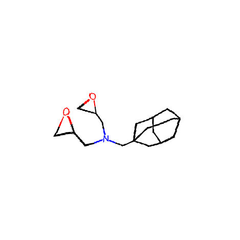 C1C2CC3CC1CC(CN(CC1CO1)CC1CO1)(C2)C3